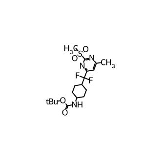 Cc1cc(C(F)(F)C2CCC(NC(=O)OC(C)(C)C)CC2)nc(S(C)(=O)=O)n1